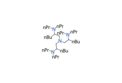 CCCCC(CN(CC(CCCC)N(CCC)CCC)CC(CCCC)N(CCC)CCC)N(CCC)CCC